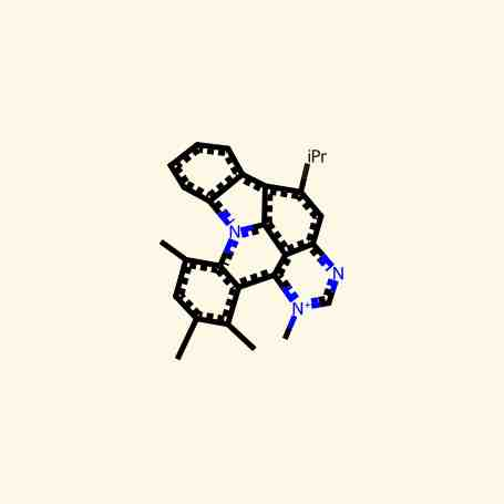 Cc1cc(C)c2c(c1C)c1c3c(cc(C(C)C)c4c5ccccc5n2c43)nc[n+]1C